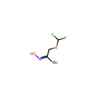 CC(C)(C)/C(CSC(F)F)=N/O